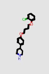 Clc1ccccc1OCCCCOc1ccc(C2CCNCC2)cc1